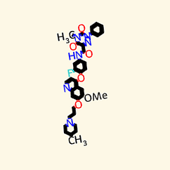 COc1cc2c(Oc3ccc(NC(=O)c4nn(-c5ccccc5)c(=O)n(C)c4=O)cc3F)ccnc2cc1OCCCN1CCC(C)CC1